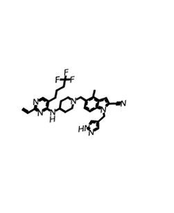 C=Cc1ncc(CCCC(F)(F)F)c(NC2CCN(Cc3ccc4c(cc(C#N)n4Cc4cn[nH]c4)c3C)CC2)n1